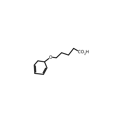 O=C(O)CCCCOC1C=CC=CC1